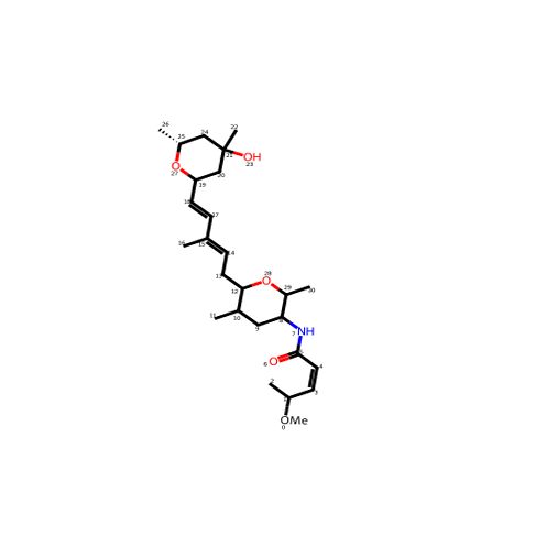 COC(C)/C=C\C(=O)NC1CC(C)C(C/C=C(C)/C=C/C2CC(C)(O)C[C@@H](C)O2)OC1C